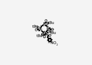 CC(C)(C)OC(=O)CN1CCCN(CC(=O)OC(C)(C)C)CCN(CC(=O)OC(C)(C)C)C(CNC(=O)Cc2ccc([N+](=O)[O-])cc2)CN(CC(=O)OC(C)(C)C)CC1